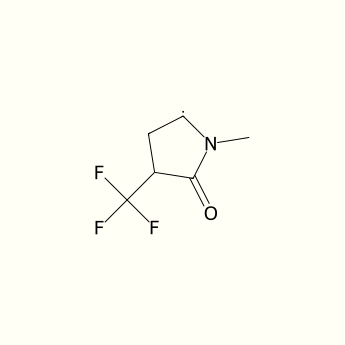 CN1[CH]CC(C(F)(F)F)C1=O